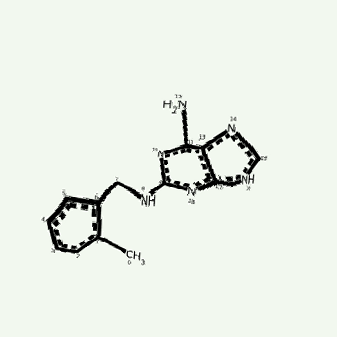 Cc1ccccc1CNc1nc(N)c2nc[nH]c2n1